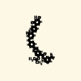 CC(C)Oc1cc2nc(C3CCC(CN4CCC(c5ccc(C6CCC(=O)NC6=O)cc5)C(F)(F)C4)CC3)cn2cc1C(=O)Nc1cccc(C(F)F)n1